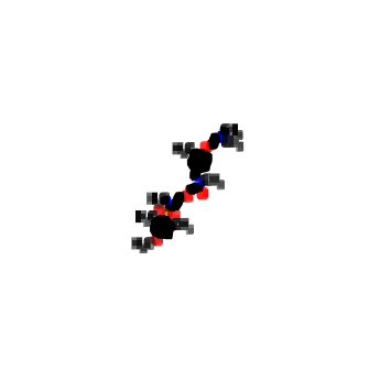 COc1cc(C)c(S(=O)(=O)N(C)CCOCC(=O)N(C)Cc2ccc(OCCN(C)C)c(C)c2)c(C)c1